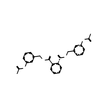 CC(=O)Oc1cccc(COC(=O)c2ccccc2C(=O)OCc2cccc(OC(C)=O)c2)c1